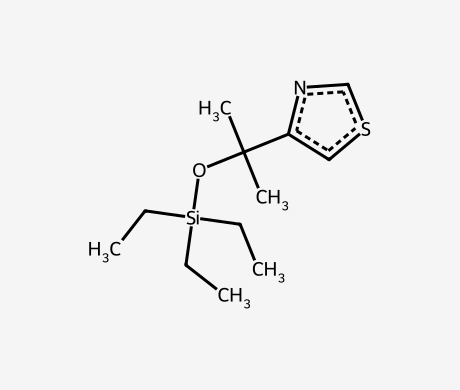 CC[Si](CC)(CC)OC(C)(C)c1cscn1